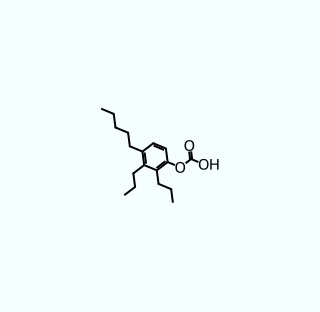 CCCCCc1ccc(OC(=O)O)c(CCC)c1CCC